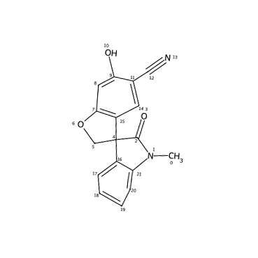 CN1C(=O)C2(COc3cc(O)c(C#N)cc32)c2ccccc21